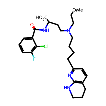 COCCN(CCCCc1ccc2c(n1)NCCC2)CCC(NC(=O)c1cccc(F)c1Cl)C(=O)O